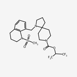 CS(=O)(=O)N1CCCc2cccc(CN3CCCC34CCN(C(=O)OC(C(F)(F)F)C(F)(F)F)CC4)c21